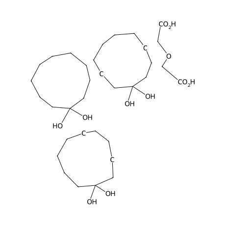 O=C(O)COCC(=O)O.OC1(O)CCCCCCCCC1.OC1(O)CCCCCCCCC1.OC1(O)CCCCCCCCC1